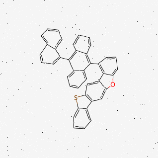 c1ccc2c(-c3c4ccccc4c(-c4cccc5oc6cc7c(cc6c45)sc4ccccc47)c4ccccc34)cccc2c1